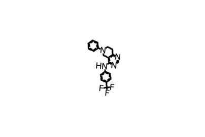 FC(F)(F)c1ccc(Nc2ncnc3c2CN(c2ccccc2)CC3)cc1